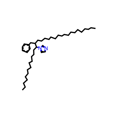 CCCCCCCCCCCCCCCCCCC(Cc1ccccc1)C(CCCCCCCCCCCCC)n1ccnc1